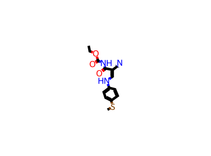 CCOC(=O)NC(=O)C(C#N)=CNc1ccc(SC)cc1